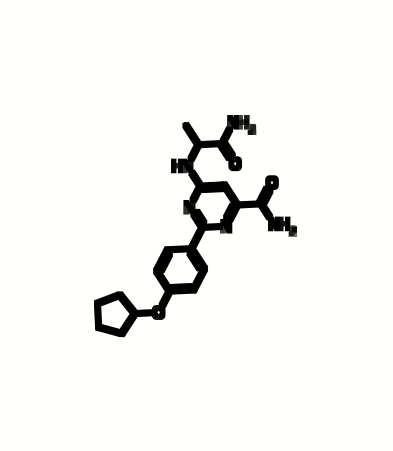 CC(Nc1cc(C(N)=O)nc(-c2ccc(OC3CCCC3)cc2)n1)C(N)=O